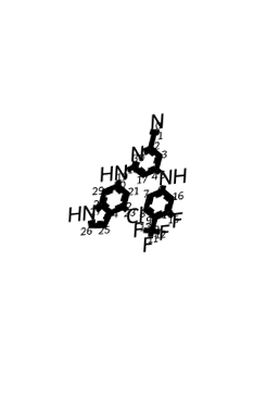 N#Cc1cc(Nc2ccc(C(F)(F)F)c(F)c2)cc(Nc2cc(Cl)c3cc[nH]c3c2)n1